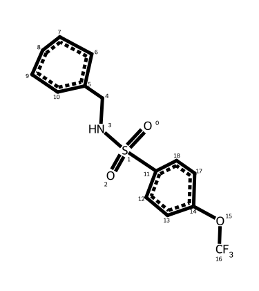 O=S(=O)(NCc1ccccc1)c1ccc(OC(F)(F)F)cc1